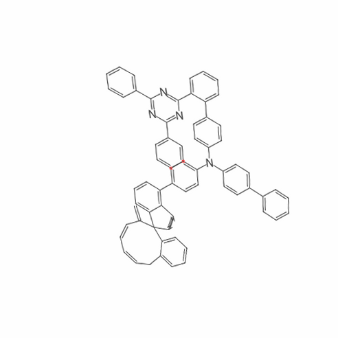 C=C1/C=C\C=C/Cc2ccccc2C12c1ccccc1-c1c(-c3ccc(N(c4ccc(-c5ccccc5)cc4)c4ccc(-c5ccccc5-c5nc(-c6ccccc6)nc(-c6ccccc6)n5)cc4)cc3)cccc12